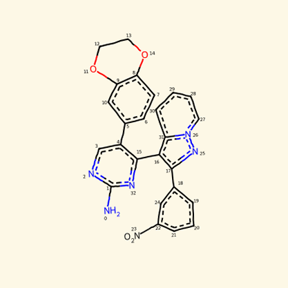 Nc1ncc(-c2ccc3c(c2)OCCO3)c(-c2c(-c3cccc([N+](=O)[O-])c3)nn3ccccc23)n1